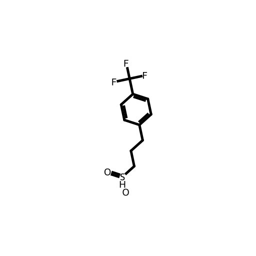 O=[SH](=O)CCCc1ccc(C(F)(F)F)cc1